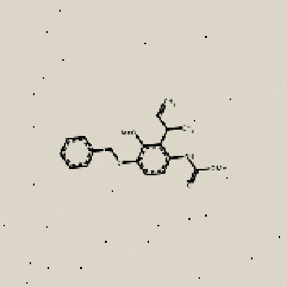 C=CC(C)c1c(NC(=O)OC)ccc(OCc2ccccc2)c1OC